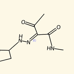 CNC(=O)/C(=N/NC1CCC1)C(C)=O